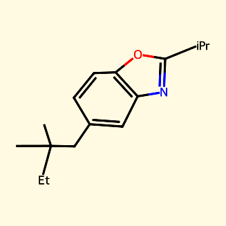 CCC(C)(C)Cc1ccc2oc(C(C)C)nc2c1